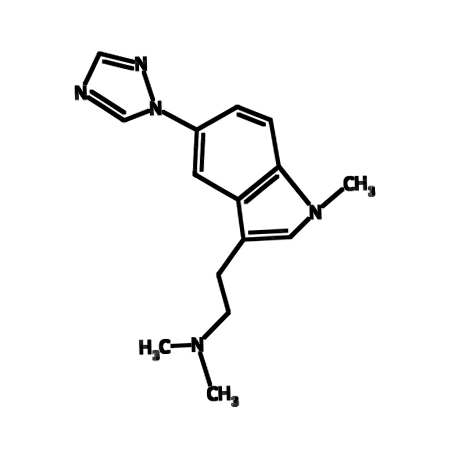 CN(C)CCc1cn(C)c2ccc(-n3cncn3)cc12